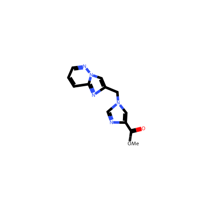 COC(=O)c1cn(Cc2cn3ncccc3n2)cn1